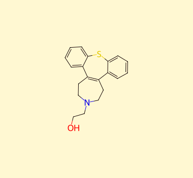 OCCN1CCC2=C(CC1)c1ccccc1Sc1ccccc12